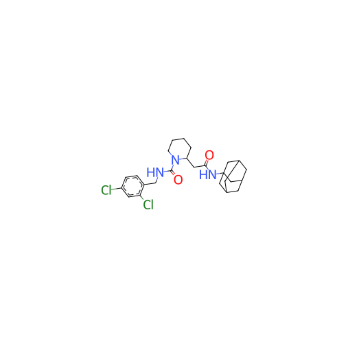 O=C(CC1CCCCN1C(=O)NCc1ccc(Cl)cc1Cl)NC12CC3CC(CC(C3)C1)C2